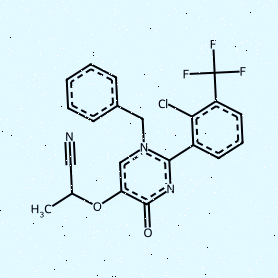 CC(C#N)Oc1cn(Cc2ccccc2)c(-c2cccc(C(F)(F)F)c2Cl)nc1=O